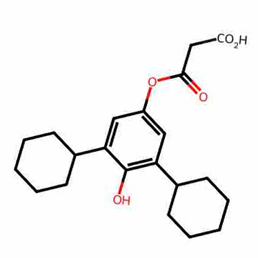 O=C(O)CC(=O)Oc1cc(C2CCCCC2)c(O)c(C2CCCCC2)c1